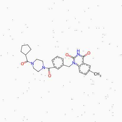 Cc1ccc2c(c1)c(=O)[nH]c(=O)n2Cc1cccc(C(=O)N2CCN(C(=O)C3CCCC3)CC2)c1